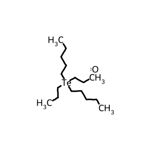 CCCCC[Te](CCC)(CCC)CCCCC.[O]